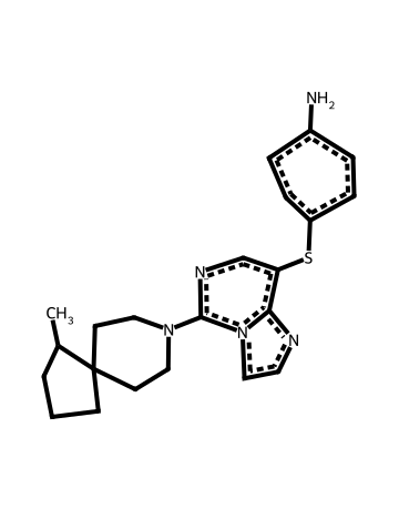 CC1CCCC12CCN(c1ncc(Sc3ccc(N)cc3)c3nccn13)CC2